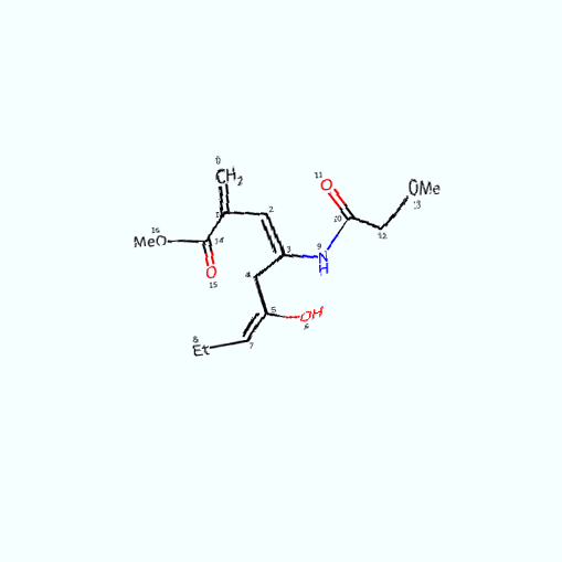 C=C(/C=C(\C/C(O)=C\CC)NC(=O)COC)C(=O)OC